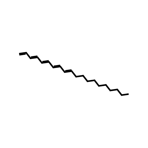 C=CC=CC=CC=CC=CCCCCCCCCCC